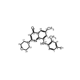 Cc1cc(Nc2ccc(F)cc2C)c2nc(N3CCOCC3)cc(=O)n2c1